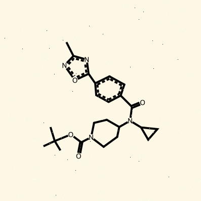 Cc1noc(-c2ccc(C(=O)N(C3CC3)C3CCN(C(=O)OC(C)(C)C)CC3)cc2)n1